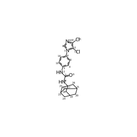 O=C(Nc1ccc(-n2cnc(Cl)c2Cl)cc1)NC12CC3CC(CC(C3)C1)C2